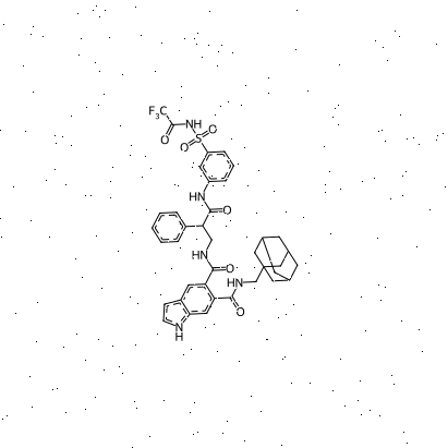 O=C(NCC(C(=O)Nc1cccc(S(=O)(=O)NC(=O)C(F)(F)F)c1)c1ccccc1)c1cc2cc[nH]c2cc1C(=O)NCC12CC3CC(CC(C3)C1)C2